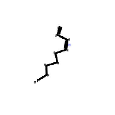 C=C/C=C\CCCCI